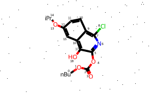 CCCCOC(=O)Oc1nc(Cl)c2ccc(OC(C)C)cc2c1O